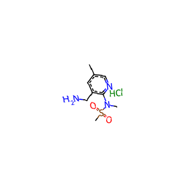 Cc1cnc(N(C)S(C)(=O)=O)c(CN)c1.Cl